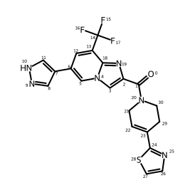 O=C(c1cn2cc(-c3cn[nH]c3)cc(C(F)(F)F)c2n1)N1CC=C(c2nccs2)CC1